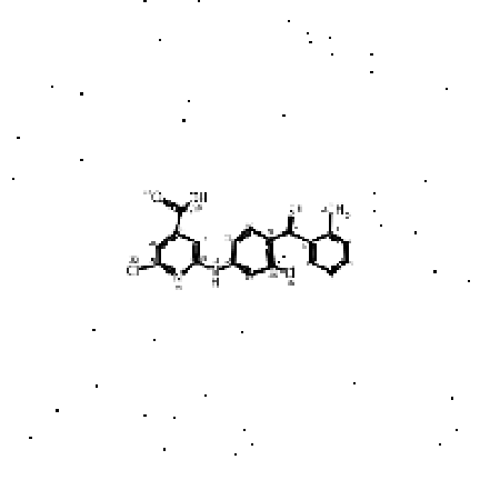 Cc1ccccc1C(=S)c1ccc(Nc2cc(C(=O)O)cc(Cl)n2)cc1Cl